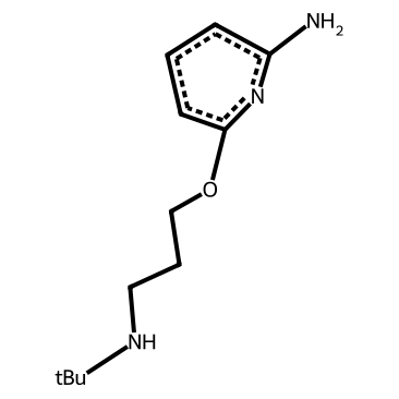 CC(C)(C)NCCCOc1cccc(N)n1